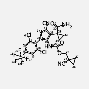 N#Cc1nn(-c2c(Cl)cc(S(F)(F)(F)(F)F)cc2Cl)c(NC(=O)OCC2(C#N)CC2)c1C1(C(N)=O)CC1